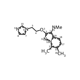 CNc1c(OCCn2ccnc2)nn2c(C)c(C)ccc12